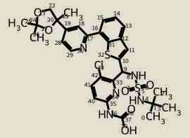 CC(C)(C)NS(=O)(=O)NC(c1cc2cccc(-c3cc(C4(C)COC(C)(C)O4)ccn3)c2s1)c1nc(NC(=O)O)ccc1Cl